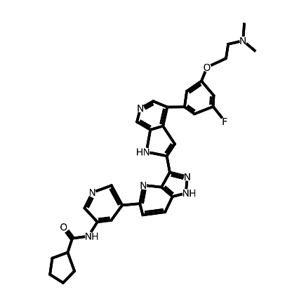 CN(C)CCOc1cc(F)cc(-c2cncc3[nH]c(-c4n[nH]c5ccc(-c6cncc(NC(=O)C7CCCC7)c6)nc45)cc23)c1